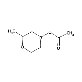 CC(=O)ON1CCOC(C)C1